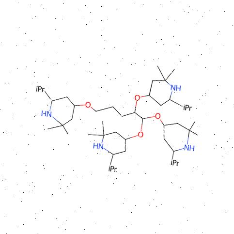 CC(C)C1CC(OCCCC(OC2CC(C(C)C)NC(C)(C)C2)C(OC2CC(C(C)C)NC(C)(C)C2)OC2CC(C(C)C)NC(C)(C)C2)CC(C)(C)N1